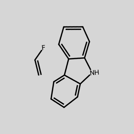 C=CF.c1ccc2c(c1)[nH]c1ccccc12